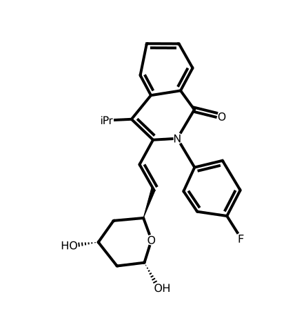 CC(C)c1c(/C=C/[C@@H]2C[C@@H](O)C[C@@H](O)O2)n(-c2ccc(F)cc2)c(=O)c2ccccc12